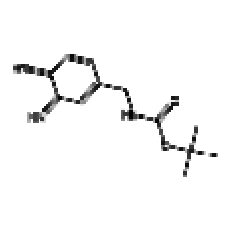 CC(C)(C)OC(=O)NCC1=CC(=N)C(=N)C=C1